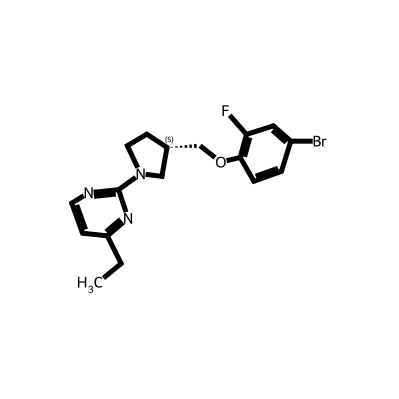 CCc1ccnc(N2CC[C@H](COc3ccc(Br)cc3F)C2)n1